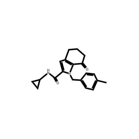 Cc1ccc(Cn2c(C(=O)NC3CC3)cc3c2C(=O)CCC3)cc1